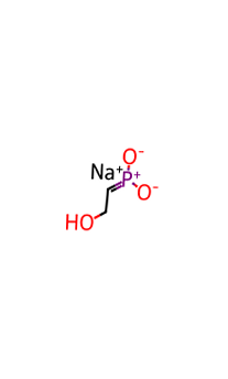 [Na+].[O-][P+]([O-])=CCO